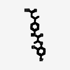 CC(Oc1ccc(Br)cc1Cl)C(=O)Nc1ccc(C(C)CC(=O)O)cc1